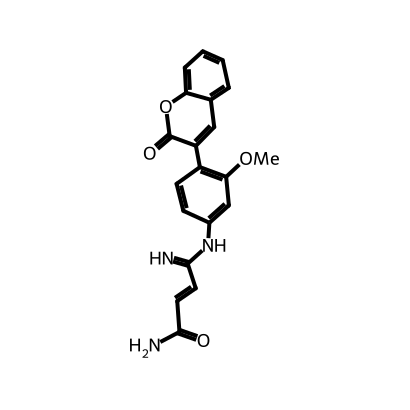 COc1cc(NC(=N)C=CC(N)=O)ccc1-c1cc2ccccc2oc1=O